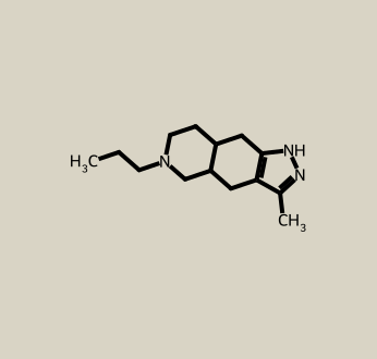 CCCN1CCC2Cc3[nH]nc(C)c3CC2C1